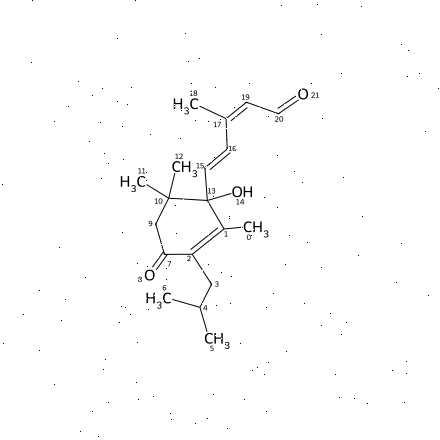 CC1=C(CC(C)C)C(=O)CC(C)(C)C1(O)/C=C/C(C)=C\C=O